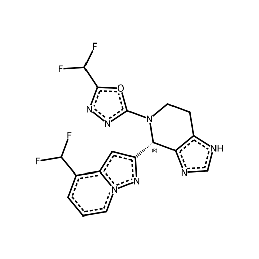 FC(F)c1nnc(N2CCc3[nH]cnc3[C@@H]2c2cc3c(C(F)F)cccn3n2)o1